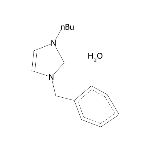 CCCCN1C=CN(Cc2ccccc2)C1.O